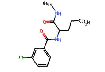 CCCCCCNC(=O)C(CCC(=O)O)NC(=O)c1cccc(Cl)c1